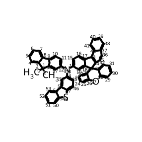 CC1(C)c2ccccc2-c2ccc(N(c3ccc4c(c3)C3(c5ccccc5Oc5ccccc53)c3ccc5ccccc5c3-4)c3ccc4sc5ccccc5c4c3)cc21